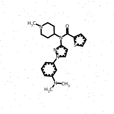 CN1CCC(N(C(=O)c2cccs2)c2ccn(-c3cccc(N(C)C)c3)n2)CC1